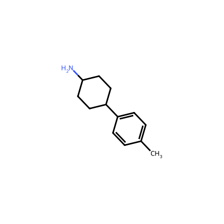 Cc1ccc(C2CCC(N)CC2)cc1